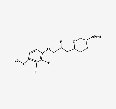 CCCCCC1CCC(CC(F)COc2ccc(OCC)c(F)c2F)OC1